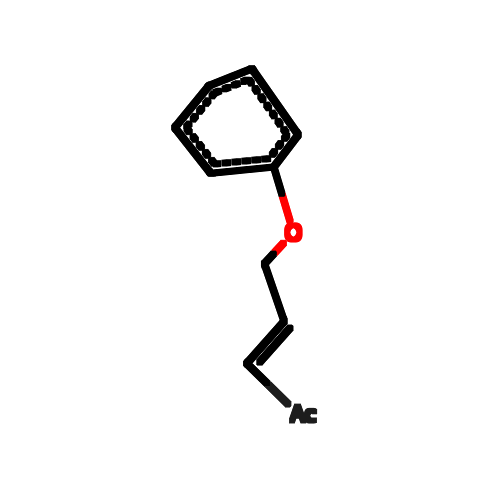 CC(=O)C=CCOc1ccccc1